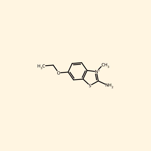 CCOc1ccc2c(c1)sc(N)[n+]2C